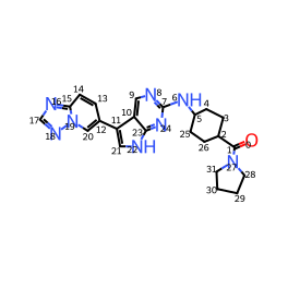 O=C(C1CCC(Nc2ncc3c(-c4ccc5ncnn5c4)c[nH]c3n2)CC1)N1CCCC1